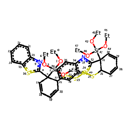 CCO[Si](OCC)(OCC)C1(c2nc3ccccc3s2)C=CC=CC1SSSSC1C=CC=CC1(c1nc2ccccc2s1)[Si](OCC)(OCC)OCC